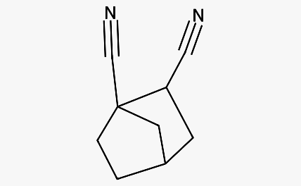 N#CC1CC2CCC1(C#N)C2